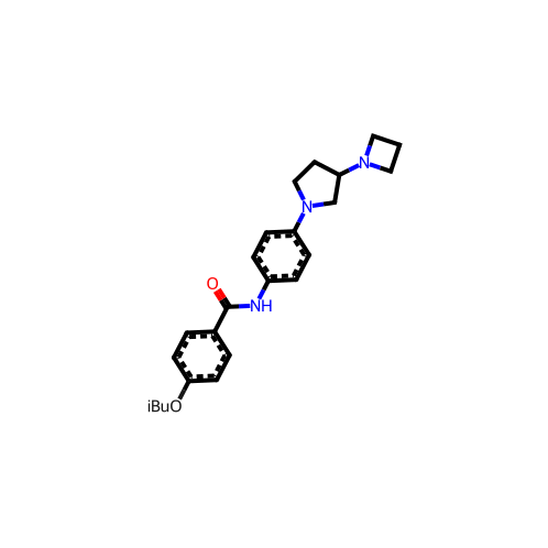 CC(C)COc1ccc(C(=O)Nc2ccc(N3CCC(N4CCC4)C3)cc2)cc1